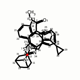 COC(=O)c1cc2sc(N3C4CC(NCc5c(-c6c(Cl)cccc6Cl)noc5C5CC5)CC3C4)nc2c2ccccc12